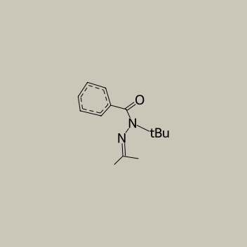 CC(C)=NN(C(=O)c1ccccc1)C(C)(C)C